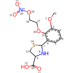 COc1cccc(C2NC(C(=O)O)CS2)c1OCCO[N+](=O)[O-]